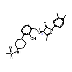 CC1=NN(c2ccc(C)c(C)c2)C(=O)/C1=N\Nc1cccc(C2CCC(NS(C)(=O)=O)CC2)c1O